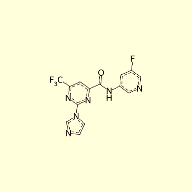 O=C(Nc1cncc(F)c1)c1cc(C(F)(F)F)nc(-n2ccnc2)n1